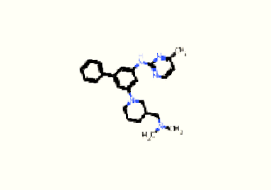 CN(C)CC1CCCN(c2cc(Nc3nccc(C(F)(F)F)n3)cc(-c3ccccc3)c2)C1